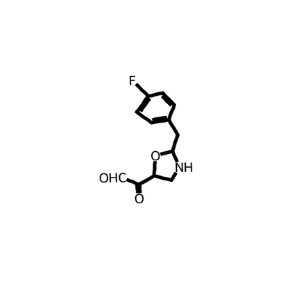 O=CC(=O)C1CNC(Cc2ccc(F)cc2)O1